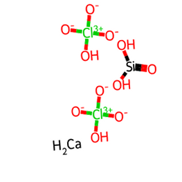 O=[Si](O)O.[CaH2].[O-][Cl+3]([O-])([O-])O.[O-][Cl+3]([O-])([O-])O